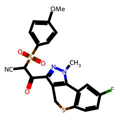 COc1ccc(S(=O)(=O)C(C#N)C(=O)c2nn(C)c3c2CSc2ccc(F)cc2-3)cc1